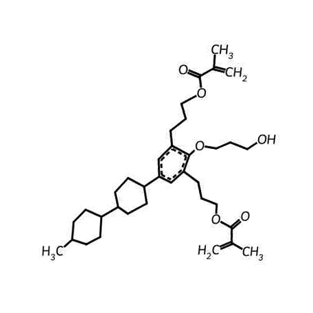 C=C(C)C(=O)OCCCc1cc(C2CCC(C3CCC(C)CC3)CC2)cc(CCCOC(=O)C(=C)C)c1OCCCO